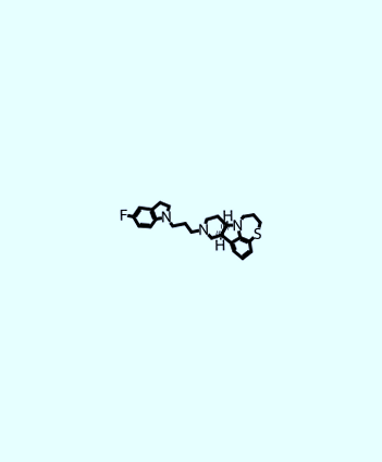 Fc1ccc2c(c1)CCN2CCCN1CC[C@@H]2[C@H](C1)c1cccc3c1N2CCCS3